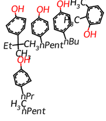 CCC(C)(C)c1ccc(O)cc1.CCCCCc1ccc(O)cc1.CCCCc1ccc(O)cc1.CCCc1ccc(O)cc1.CC[CH]CCC.Cc1cccc(O)c1C